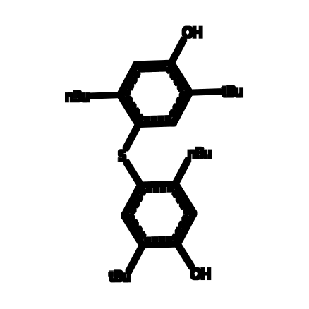 CCCCc1cc(O)c(C(C)(C)C)cc1Sc1cc(C(C)(C)C)c(O)cc1CCCC